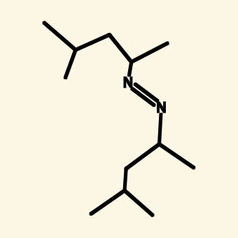 CC(C)CC(C)N=NC(C)CC(C)C